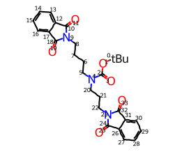 CC(C)(C)OC(=O)N(CCCCN1C(=O)c2ccccc2C1=O)CCCN1C(=O)c2ccccc2C1=O